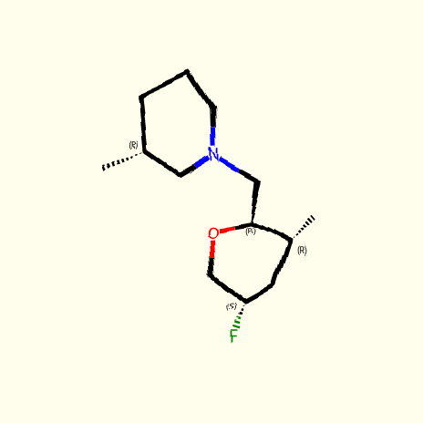 C[C@@H]1CCCN(C[C@@H]2OC[C@@H](F)C[C@H]2C)C1